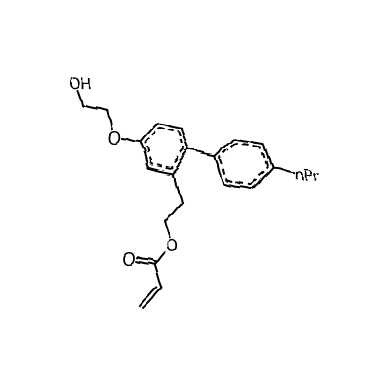 C=CC(=O)OCCc1cc(OCCO)ccc1-c1ccc(CCC)cc1